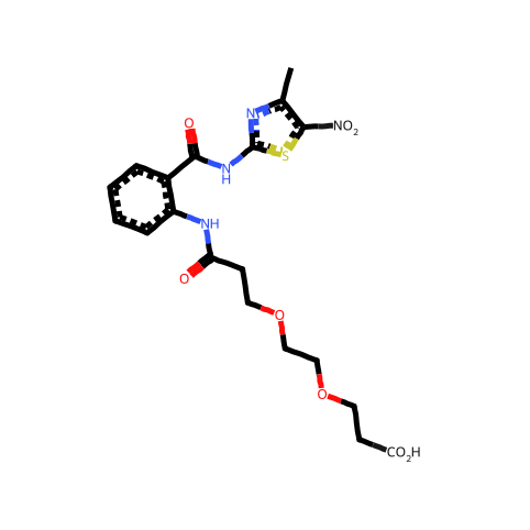 Cc1nc(NC(=O)c2ccccc2NC(=O)CCOCCOCCC(=O)O)sc1[N+](=O)[O-]